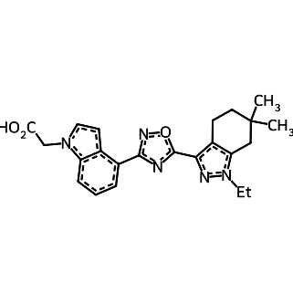 CCn1nc(-c2nc(-c3cccc4c3ccn4CC(=O)O)no2)c2c1CC(C)(C)CC2